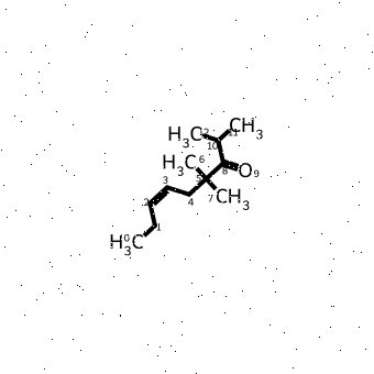 CC/C=C\CC(C)(C)C(=O)C(C)C